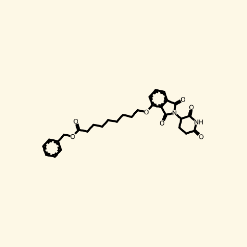 O=C1CCC(N2C(=O)c3cccc(OCCCCCCCCC(=O)OCc4ccccc4)c3C2=O)C(=O)N1